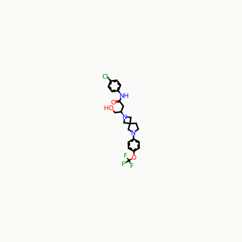 O=C(CC(CO)N1CC2(CCN(c3ccc(OC(F)(F)F)cc3)C2)C1)Nc1ccc(Cl)cc1